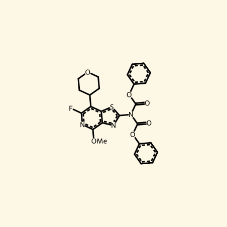 COc1nc(F)c(C2CCOCC2)c2sc(N(C(=O)Oc3ccccc3)C(=O)Oc3ccccc3)nc12